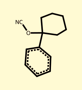 N#COC1(c2ccccc2)CCCCC1